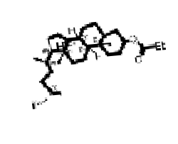 CCC(=O)OC1CC[C@@]2(C)C(CC[C@H]3[C@@H]4CC[C@H]([C@H](C)CC[C@H](C)C(C)C)[C@@]4(C)CC[C@@H]32)C1